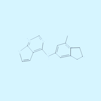 Brc1cc(Nc2ncnc3[nH]ccc23)cc2c1CCC2.Cl